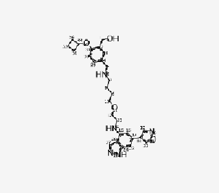 OCc1cc(CNCCCCOCCNc2cc(-c3cnoc3)cc3[nH]ncc23)ccc1OC1CCC1